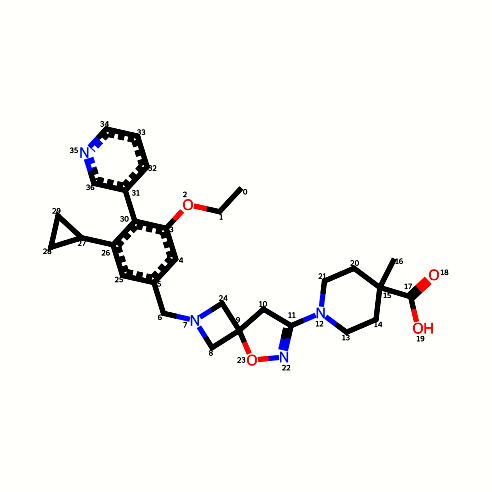 CCOc1cc(CN2CC3(CC(N4CCC(C)(C(=O)O)CC4)=NO3)C2)cc(C2CC2)c1-c1cccnc1